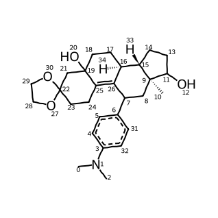 CN(C)c1ccc(C2C[C@]3(C)C(O)CC[C@H]3[C@@H]3CCC4(O)CC5(CCC4=C23)OCCO5)cc1